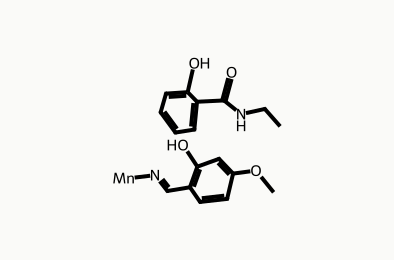 CCNC(=O)c1ccccc1O.COc1ccc(C=[N][Mn])c(O)c1